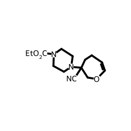 CCOC(=O)N1CCN(C2(C#N)CCC=COC2)CC1